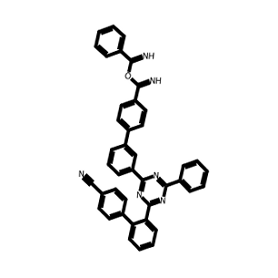 N#Cc1ccc(-c2ccccc2-c2nc(-c3ccccc3)nc(-c3cccc(-c4ccc(C(=N)OC(=N)c5ccccc5)cc4)c3)n2)cc1